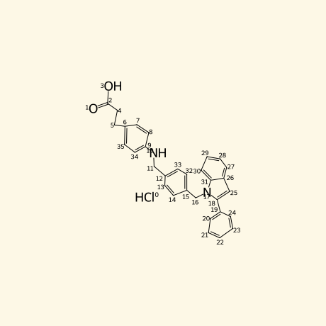 Cl.O=C(O)CCc1ccc(NCc2ccc(Cn3c(-c4ccccc4)cc4ccccc43)cc2)cc1